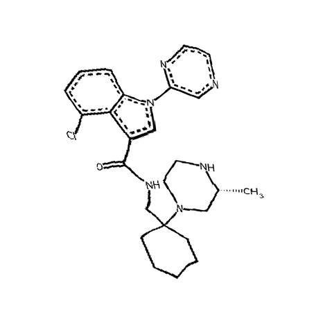 C[C@@H]1CN(C2(CNC(=O)c3cn(-c4cnccn4)c4cccc(Cl)c34)CCCCC2)CCN1